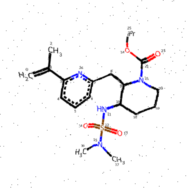 C=C(C)c1cccc(CC2C(NS(=O)(=O)N(C)C)CCCN2C(=O)OC(C)C)n1